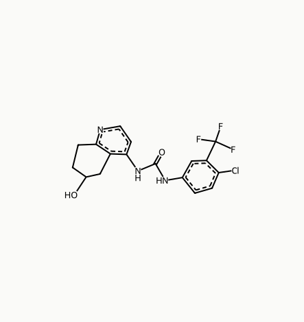 O=C(Nc1ccc(Cl)c(C(F)(F)F)c1)Nc1ccnc2c1CC(O)CC2